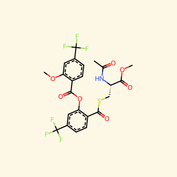 COC(=O)[C@H](CSC(=O)c1ccc(C(F)(F)F)cc1OC(=O)c1ccc(C(F)(F)F)cc1OC)NC(C)=O